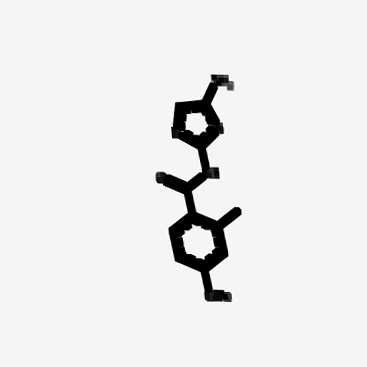 COc1ccc(C(=O)Nc2ncc(N)s2)c(C)c1